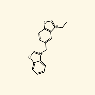 CC[n+]1coc2ccc(C[n+]3coc4ccccc43)cc21